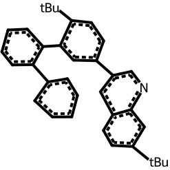 CC(C)(C)c1ccc2cc(-c3ccc(C(C)(C)C)c(-c4ccccc4-c4ccccc4)c3)cnc2c1